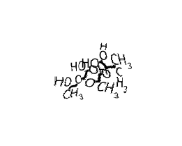 CC(O)COC(O[C@@H](C)COC(C(C)C)C(O)O)C(O)O